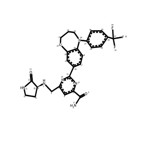 NC(=O)c1cc(CN[C@H]2CCNC2=O)nc(-c2ccc3c(c2)OCCCN3c2ccc(C(F)(F)F)cc2)n1